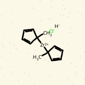 C[C]1([Zr+2][C]2(C)C=CC=C2)C=CC=C1.[Cl-].[H-]